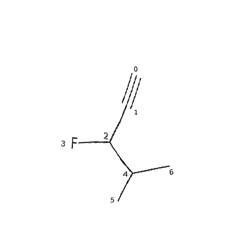 C#CC(F)C(C)C